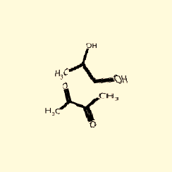 CC(=O)C(C)=O.CC(O)CO